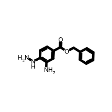 NNc1ccc(C(=O)OCc2ccccc2)cc1N